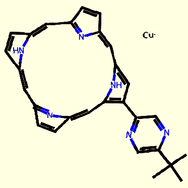 CC(C)(C)c1cnc(-c2cc3cc4nc(cc5ccc(cc6nc(cc2[nH]3)C=C6)[nH]5)C=C4)cn1.[Cu]